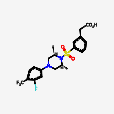 C[C@@H]1CN(c2ccc(C(F)(F)F)c(F)c2)C[C@H](C)N1S(=O)(=O)c1cccc(CC(=O)O)c1